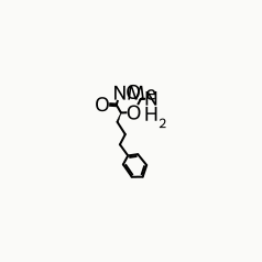 CNC(=O)[C@H](CCCc1ccccc1)OC(N)=O